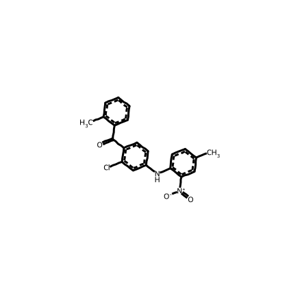 Cc1ccc(Nc2ccc(C(=O)c3ccccc3C)c(Cl)c2)c([N+](=O)[O-])c1